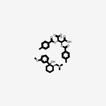 COc1cccc([C@@]2(O)CCCC[C@@H]2CN(C)C)c1.Cc1ccc(C(=O)O[C@H](C(=O)O)[C@H](OC(=O)c2ccc(C)cc2)C(=O)O)cc1